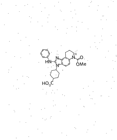 COC(=O)N1c2ccc3c(nc(Nc4ccccc4)n3C3CCC(C(=O)O)CC3)c2CC[C@@H]1C